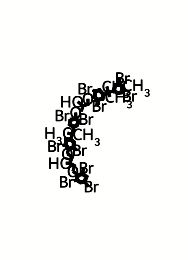 Cc1c(Br)cc(C(C)(C)c2cc(Br)c(OCC(O)COc3c(Br)cc(C(C)(C)c4cc(Br)c(OCC(O)COc5c(Br)cc(Br)cc5Br)c(Br)c4)cc3Br)c(Br)c2)cc1Br